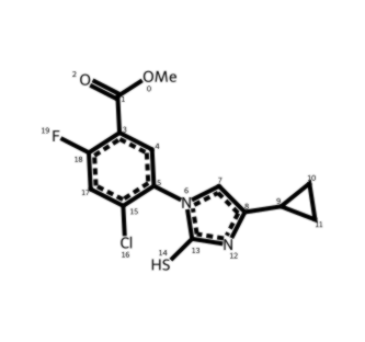 COC(=O)c1cc(-n2cc(C3CC3)nc2S)c(Cl)cc1F